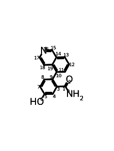 NC(=O)c1cc(O)ccc1-c1cccc2cnccc12